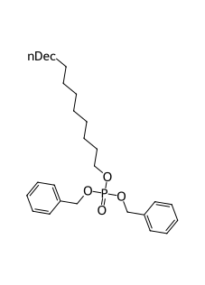 CCCCCCCCCCCCCCCCCCOP(=O)(OCc1ccccc1)OCc1ccccc1